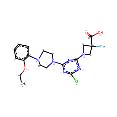 CCOc1ccccc1N1CCN(c2nc(Cl)nc(N3CC(F)(C(=O)O)C3)n2)CC1